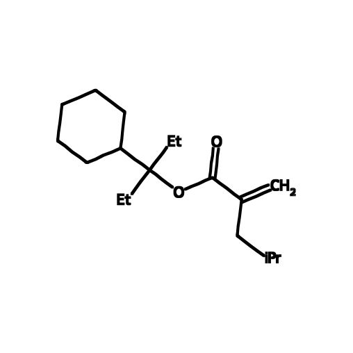 C=C(CC(C)C)C(=O)OC(CC)(CC)C1CCCCC1